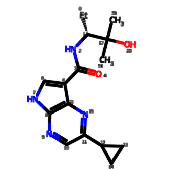 CC[C@@H](NC(=O)c1c[nH]c2ncc(C3CC3)nc12)C(C)(C)O